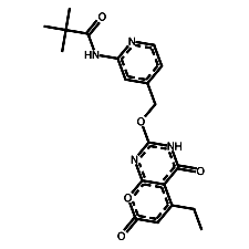 CCc1cc(=O)oc2nc(OCc3ccnc(NC(=O)C(C)(C)C)c3)[nH]c(=O)c12